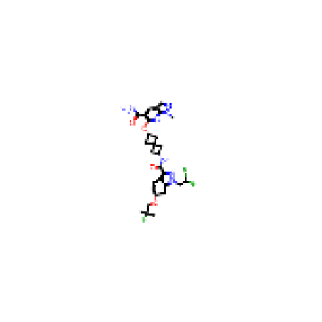 Cn1ncc2cc(C(N)=O)c(O[C@H]3CC4(C[C@H](NC(=O)c5nn(CC(F)F)c6cc(OCC(C)(C)F)ccc56)C4)C3)nc21